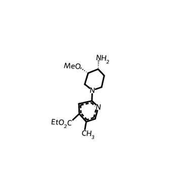 CCOC(=O)c1cc(N2CC[C@@H](N)[C@@H](OC)C2)ncc1C